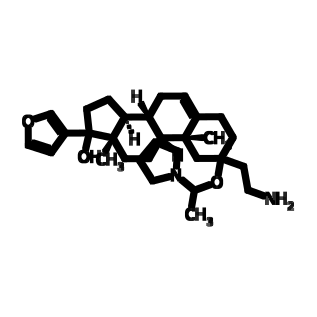 CC(OC1(CCN)CCC2=CC[C@@H]3[C@@H](CC[C@@]4(C)[C@H]3CCC4(O)c3ccoc3)[C@@]2(C)C1)N1CCCC1